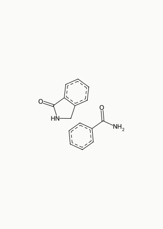 NC(=O)c1ccccc1.O=C1NCc2ccccc21